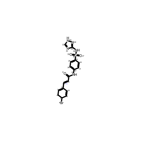 O=C(/C=C/C1=CCC(Br)C=C1)Nc1ccc(S(=O)(=O)Nc2nc[nH]n2)cc1